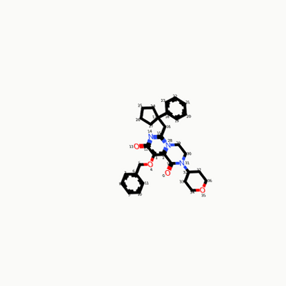 O=C1c2c(OCc3ccccc3)c(=O)nc(CC3(c4ccccc4)CCCC3)n2CCN1C1CCOCC1